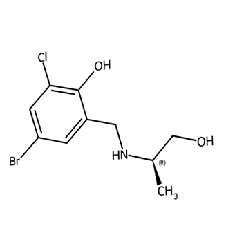 C[C@H](CO)NCc1cc(Br)cc(Cl)c1O